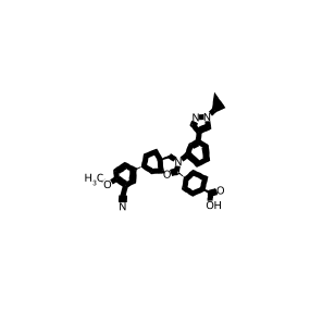 COc1ccc([C@H]2CC[C@H](CN(c3cccc(-c4cnn(C5CC5)c4)c3)C(=O)[C@H]3CC[C@H](C(=O)O)CC3)CC2)cc1C#N